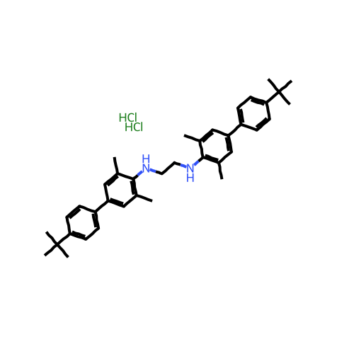 Cc1cc(-c2ccc(C(C)(C)C)cc2)cc(C)c1NCCNc1c(C)cc(-c2ccc(C(C)(C)C)cc2)cc1C.Cl.Cl